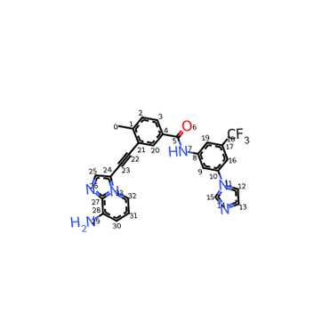 Cc1ccc(C(=O)Nc2cc(-n3ccnc3)cc(C(F)(F)F)c2)cc1C#Cc1cnc2c(N)cccn12